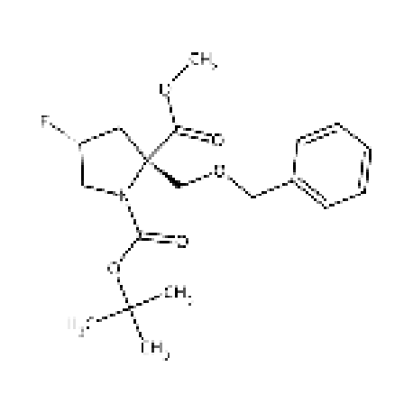 COC(=O)[C@@]1(COCc2ccccc2)C[C@@H](F)CN1C(=O)OC(C)(C)C